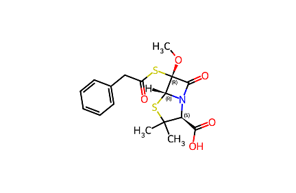 CO[C@@]1(SC(=O)Cc2ccccc2)C(=O)N2[C@@H](C(=O)O)C(C)(C)S[C@@H]21